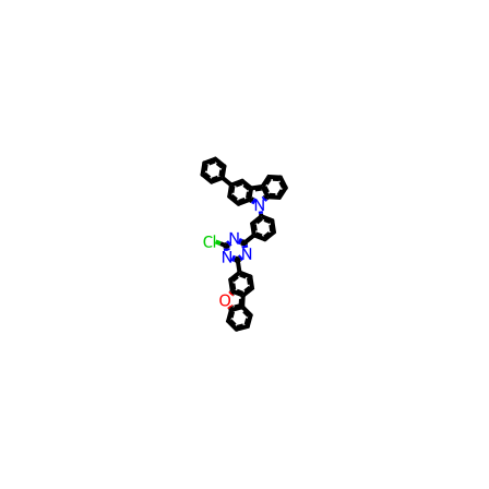 Clc1nc(-c2cccc(-n3c4ccccc4c4cc(-c5ccccc5)ccc43)c2)nc(-c2ccc3c(c2)oc2ccccc23)n1